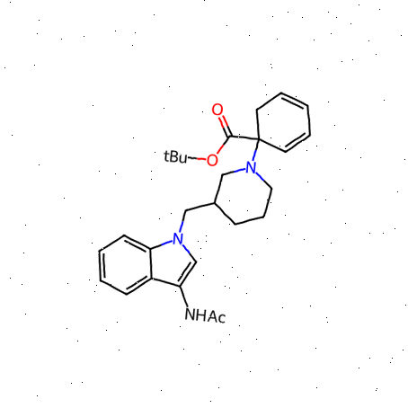 CC(=O)Nc1cn(CC2CCCN(C3(C(=O)OC(C)(C)C)C=CC=CC3)C2)c2ccccc12